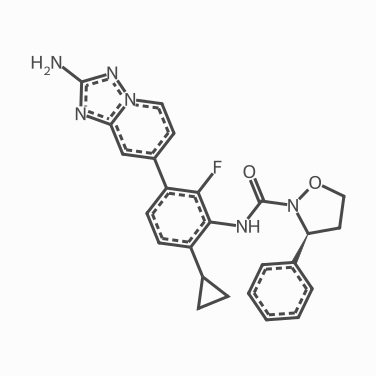 Nc1nc2cc(-c3ccc(C4CC4)c(NC(=O)N4OCC[C@H]4c4ccccc4)c3F)ccn2n1